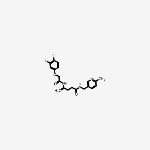 C=C(CCC(=O)NCc1ccc(C)nc1)NC(=O)COc1ccc(Cl)c(F)c1